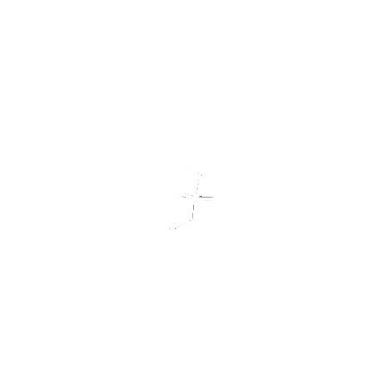 [CH2]NS(=O)(=O)CC